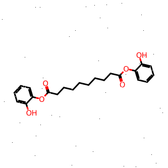 O=C(CCCCCCCCC(=O)Oc1ccccc1O)Oc1ccccc1O